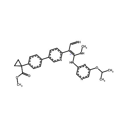 CN/C(Nc1cncc(OC(C)C)n1)=C(\C=N)c1ccc(-c2ccc(C3(C(=O)OC)CC3)cc2)cn1